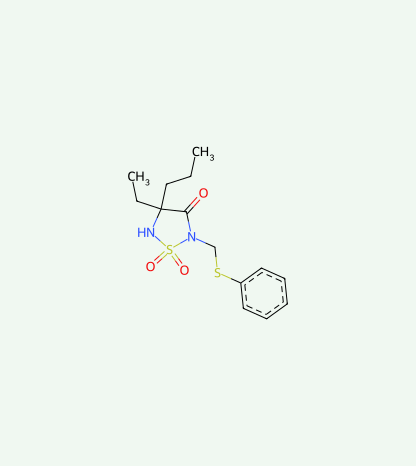 CCCC1(CC)NS(=O)(=O)N(CSc2ccccc2)C1=O